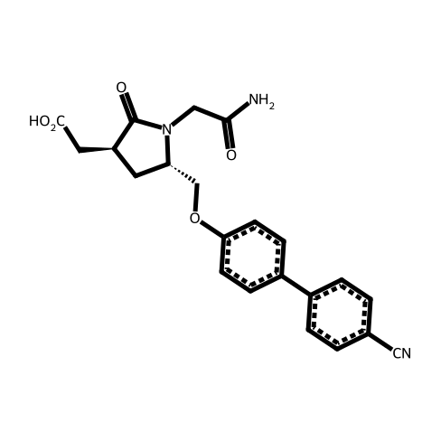 N#Cc1ccc(-c2ccc(OC[C@@H]3C[C@@H](CC(=O)O)C(=O)N3CC(N)=O)cc2)cc1